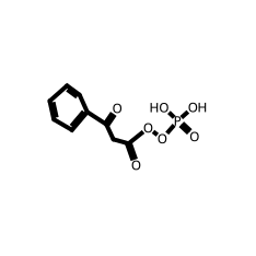 O=C(CC(=O)c1ccccc1)OOP(=O)(O)O